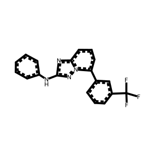 FC(F)(F)c1cccc(-c2cccc3nc(Nc4ccccc4)nn23)c1